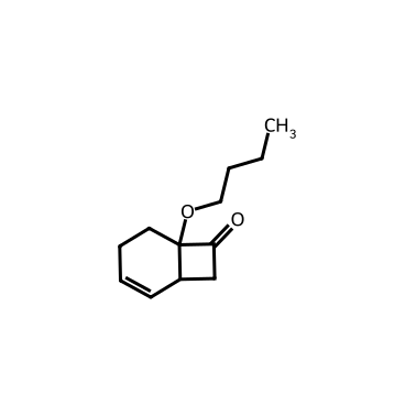 CCCCOC12CCC=CC1CC2=O